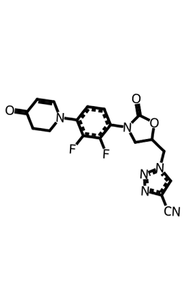 N#Cc1cn(CC2CN(c3ccc(N4C=CC(=O)CC4)c(F)c3F)C(=O)O2)nn1